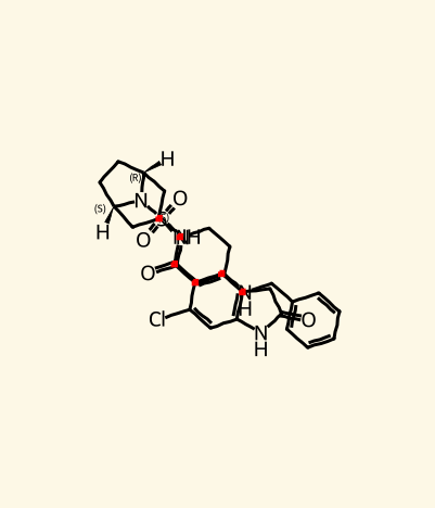 O=C1Cc2cc(C(=O)N[C@@H]3C[C@H]4CC[C@@H](C3)N4S(=O)(=O)N3CCC(NCc4ccccc4)CC3)c(Cl)cc2N1